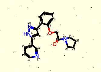 O=C(COc1ccccc1-c1cc(-c2cccnc2)[nH]n1)N1CCCC1